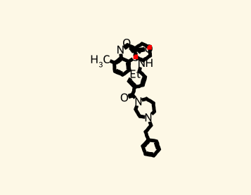 CC/C=C(\C=C/CNS1(c2cccc(C)c2/N=C\C2CCCCC2)C(=O)C1=O)C(=O)N1CCCN(CCc2ccccc2)CC1